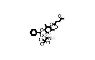 CC(=O)CCC(=O)O[C@@H]1C(C)O[C@@H](OC(=N)C(Cl)(Cl)Cl)[C@@H](OC(=O)c2ccccc2)C1C